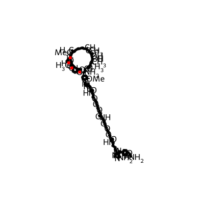 CO[C@H]1C[C@@H]2CC[C@@H](C)[C@@](O)(O2)C(=O)C(=O)N2CCCC[C@H]2C(=O)O[C@H]([C@H](N)C[C@@H]2CC[C@H](n3cc(COC(=O)NCCOCCOCCOCCC(=O)NCCOCCOCCOCCC(=O)NCCCCn4nc(-c5ccc6oc(N)nc6c5)c5c(N)ncnc54)nn3)[C@H](OC)C2)CC(=O)[C@H](C)/C=C(\C)[C@@H](O)[C@@H](O)C(=O)[C@H](C)C[C@H](C)/C=C/C=C/C=C/1C